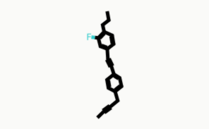 CC#CCc1ccc(C#Cc2ccc(CCC)c(F)c2)cc1